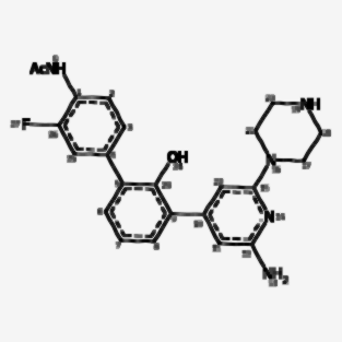 CC(=O)Nc1ccc(-c2cccc(-c3cc(N)nc(N4CCNCC4)c3)c2O)cc1F